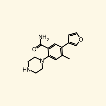 Cc1cc(N2CCNCC2)c(C(N)=O)cc1-c1ccoc1